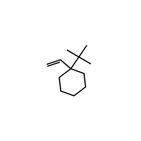 C=CC1(C(C)(C)C)CCCCC1